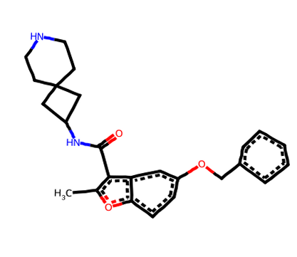 Cc1oc2ccc(OCc3ccccc3)cc2c1C(=O)NC1CC2(CCNCC2)C1